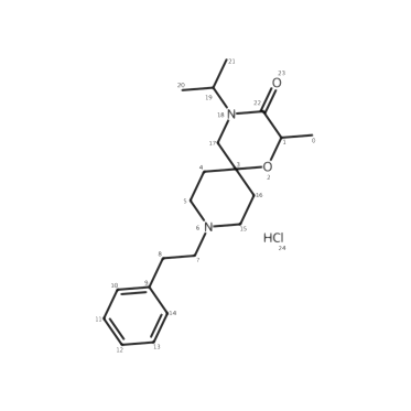 CC1OC2(CCN(CCc3ccccc3)CC2)CN(C(C)C)C1=O.Cl